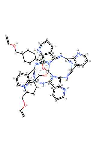 C=COCC1CCC(CO[Si]2(OCC3CCC(COC=C)CC3)n3c4c5cccnc5c3/N=C3N=C(/N=c5/c6cccnc6/c(n52)=N/C2=NC(=N\4)/c4ncccc42)c2ncccc2\3)CC1